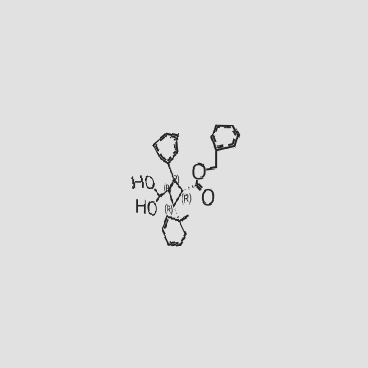 CC1([C@H]2[C@@H](C(=O)OCc3ccccc3)[C@H](c3ccccc3)[C@@H]2C(O)O)C=CC=CC1